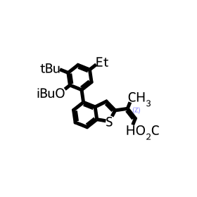 CCc1cc(-c2cccc3sc(/C(C)=C\C(=O)O)cc23)c(OCC(C)C)c(C(C)(C)C)c1